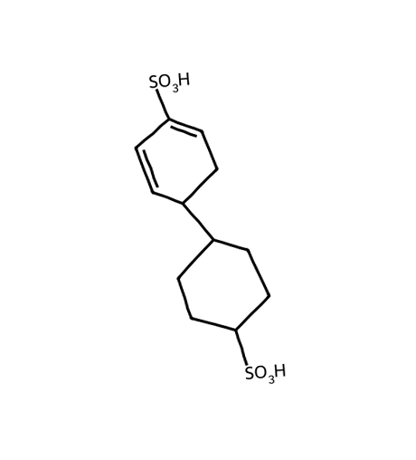 O=S(=O)(O)C1=CCC(C2CCC(S(=O)(=O)O)CC2)C=C1